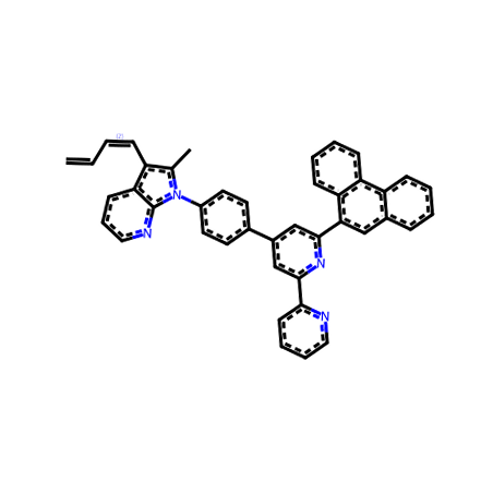 C=C/C=C\c1c(C)n(-c2ccc(-c3cc(-c4ccccn4)nc(-c4cc5ccccc5c5ccccc45)c3)cc2)c2ncccc12